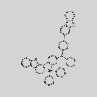 c1ccc(N(c2ccc(-c3ccc4c(c3)oc3ccccc34)cc2)c2ccc3c(c2)[Si](c2ccccc2)(c2ccccc2)c2ccc4c(sc5ccccc54)c2-3)cc1